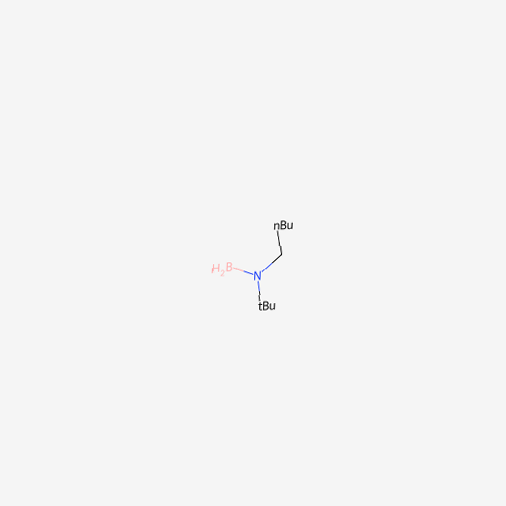 BN(CCCCC)C(C)(C)C